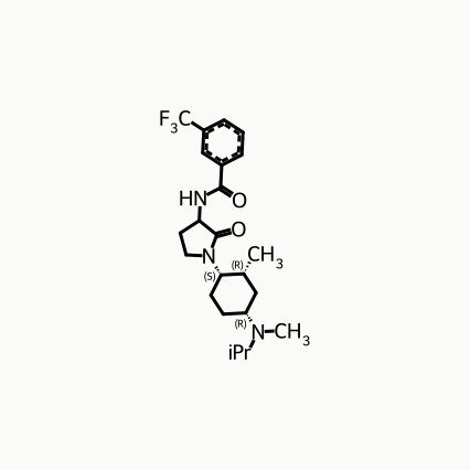 CC(C)N(C)[C@@H]1CC[C@H](N2CCC(NC(=O)c3cccc(C(F)(F)F)c3)C2=O)[C@H](C)C1